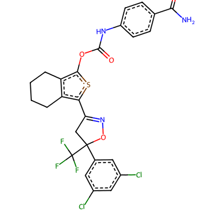 NC(=O)c1ccc(NC(=O)Oc2sc(C3=NOC(c4cc(Cl)cc(Cl)c4)(C(F)(F)F)C3)c3c2CCCC3)cc1